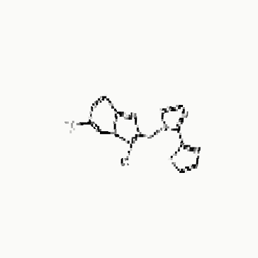 CCc1c(Cn2ccnc2-c2nccs2)nc2ccc(C(F)(F)F)cn12